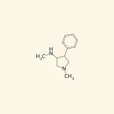 CNC1CN(C)CC1c1ccccc1